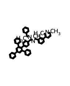 C/C(=N\C(=N/C(C)c1cccc(-c2ccc(C)nc2C)c1)c1ccc(-c2c(-c3ccccc3)cc(-c3ccccc3)cc2-c2ccccc2)cc1)c1ccccc1